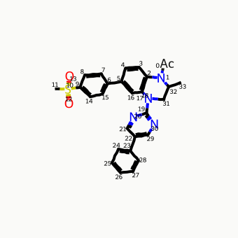 CC(=O)N1c2ccc(-c3ccc(S(C)(=O)=O)cc3)cc2N(c2ncc(-c3ccccc3)cn2)CC1C